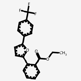 CCOC(=O)c1ccccc1-c1ccc(-c2ccc(C(F)(F)F)cc2)o1